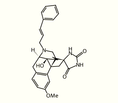 COc1ccc2c(c1)[C@]13CCN(CC=Cc4ccccc4)[C@H](C2)[C@]1(O)CC[C@@]1(C3)NC(=O)NC1=O